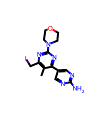 Cc1c(CI)nc(N2CCOCC2)nc1-c1cnc(N)nc1